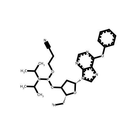 [2H]C[C@H]1O[C@@H](n2cnc3c(Oc4ccccc4)ncnc32)CC1OP(OCCC#N)N(C(C)C)C(C)C